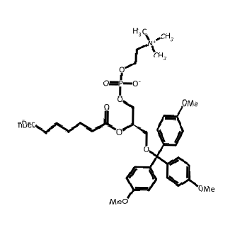 CCCCCCCCCCCCCCCC(=O)O[C@H](COC(c1ccc(OC)cc1)(c1ccc(OC)cc1)c1ccc(OC)cc1)COP(=O)([O-])OCC[N+](C)(C)C